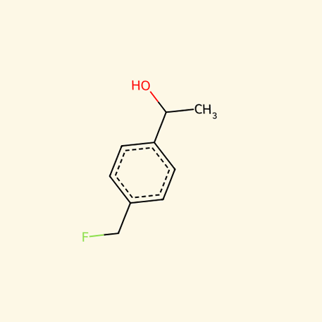 CC(O)c1ccc(CF)cc1